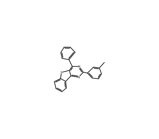 Cc1cccc(-c2nc(-c3ccccc3)c3sc4ccccc4c3n2)c1